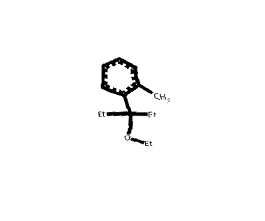 CCOC(CC)(CC)c1ccccc1C